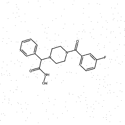 O=C(NO)C(c1ccccc1)N1CCN(C(=O)c2cccc(F)c2)CC1